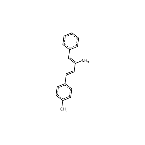 CC(C=Cc1ccc(C)cc1)=Cc1ccccc1